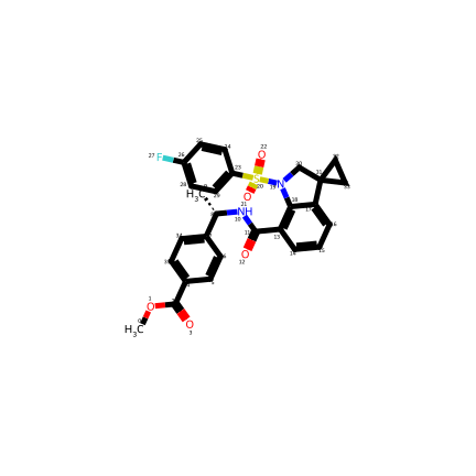 COC(=O)c1ccc([C@H](C)NC(=O)c2cccc3c2N(S(=O)(=O)c2ccc(F)cc2)CC32CC2)cc1